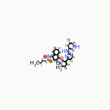 CCCCS(=O)(=O)Nc1c(F)c(C)c(Oc2ncccc2-c2ccnc(N[C@@H]3CNC[C@@H](F)C3)n2)c2ccccc12